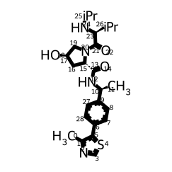 Cc1ncsc1-c1ccc([C@H](C)NC(=O)[C@@H]2C[C@@H](O)CN2C(=O)[C@@H](NC(C)C)C(C)C)cc1